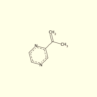 C=C(C)c1cnccn1